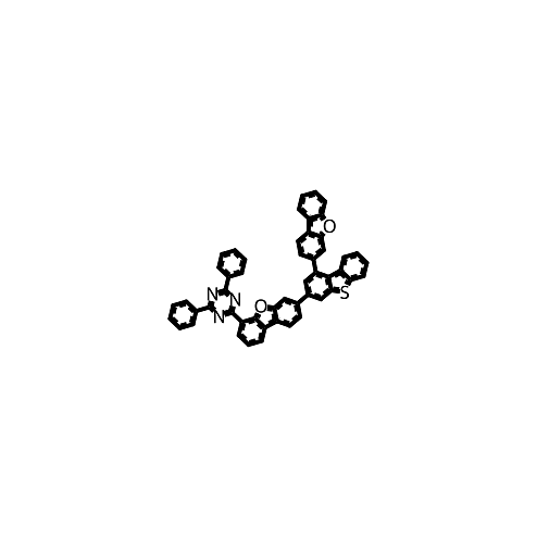 c1ccc(-c2nc(-c3ccccc3)nc(-c3cccc4c3oc3cc(-c5cc(-c6ccc7c(c6)oc6ccccc67)c6c(c5)sc5ccccc56)ccc34)n2)cc1